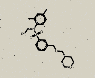 Cc1ccc(N(CC(C)C)S(=O)(=O)c2cccc(COCC3CCOCC3)c2)c(C)c1